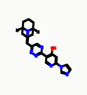 Oc1cc(-n2ccnc2)ncc1-c1ncc(/C=C2\C[C@H]3CCC[C@@H](C2)N3)nn1